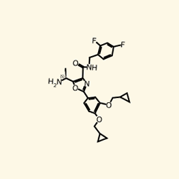 C[C@H](N)c1oc(-c2ccc(OCC3CC3)c(OCC3CC3)c2)nc1C(=O)NCc1ccc(F)cc1F